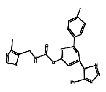 Cc1ccc(-c2cc(OC(=O)NCc3scnc3C)cc(-n3nnnc3C(C)C)c2)cc1